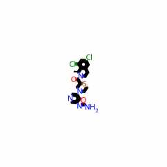 C[C@H]1c2c(Cl)cc(Cl)cc2CCN1C(=O)C1CN(c2cncc3nc(N)oc23)CCS1